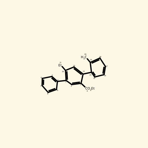 CCOC(=O)c1cc(-c2ccccc2)c(CC)cc1-c1ccccc1C